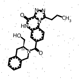 CCCc1nnc2c(=O)[nH]c3cc(C(=O)N4Cc5ccccc5C[C@H]4CO)ccc3n12